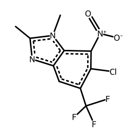 Cc1nc2cc(C(F)(F)F)c(Cl)c([N+](=O)[O-])c2n1C